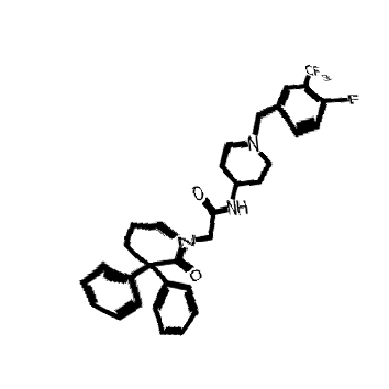 O=C(CN1CCCC(c2ccccc2)(c2ccccc2)C1=O)NC1CCN(Cc2ccc(F)c(C(F)(F)F)c2)CC1